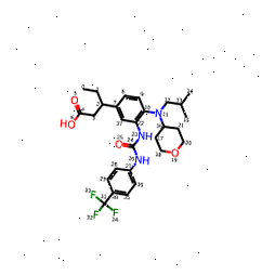 CCC(CC(=O)O)c1ccc(N(CC(C)C)C2CCOCC2)c(NC(=O)Nc2ccc(C(F)(F)F)cc2)c1